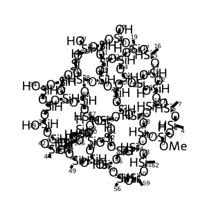 CO[SiH]1O[SiH](C)O[SiH](C)O[SiH]2O[SiH]3O[SiH]4O[SiH](C)O[Si]5(C)O[SiH](O)O[SiH]6O[SiH](O)O[SiH]7O[SiH]8O[SiH](O)O[SiH]9O[SiH](O)O[SiH]%10O[SiH](C)O[SiH]%11O[SiH](C)O[SiH]%12O[SiH]%13O[SiH](C)O[SiH](C)O[SiH](C)O[SiH]%14O[SiH](O1)O[SiH](O2)O[SiH]1O[SiH]2O[SiH](O[SiH](O7)O[SiH](O[SiH](O9)O8)O[SiH]7O[SiH](O1)O[SiH](O[SiH](O%14)O%13)O[Si]1(O%12)O[SiH](O%11)O[SiH](O%10)O[SiH]1O7)O[SiH](O6)O[SiH](O[SiH](O[SiH](O4)O3)O2)O5